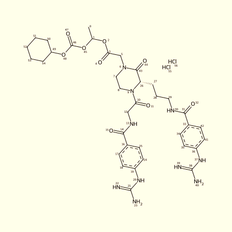 CC(OC(=O)CN1CCN(C(=O)CNC(=O)c2ccc(NC(=N)N)cc2)[C@@H](CCCNC(=O)c2ccc(NC(=N)N)cc2)C1=O)OC(=O)OC1CCCCC1.Cl.Cl